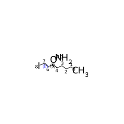 CCCCC[C@@H](/C=C/I)ON